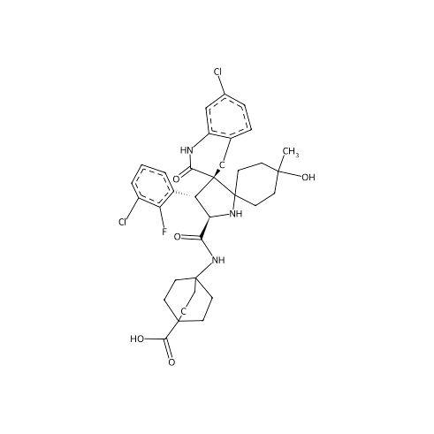 CC1(O)CCC2(CC1)N[C@@H](C(=O)NC13CCC(C(=O)O)(CC1)CC3)[C@H](c1cccc(Cl)c1F)[C@@]21Cc2ccc(Cl)cc2NC1=O